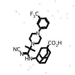 CC(C)(/C(=N\C#N)NC1C2CC3CC1CC(C(=O)O)(C3)C2)N1CCN(c2cccc(C(F)(F)F)c2)CC1